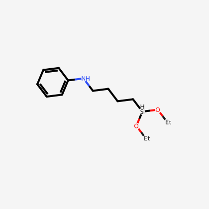 CCO[SiH](CCCCNc1ccccc1)OCC